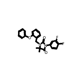 CC1(C)C(=O)N(c2ccc(F)c(F)c2)C(=O)N1Cc1ccccc1Oc1ccccc1